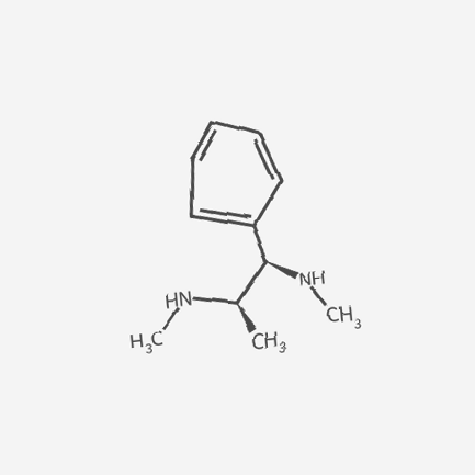 CN[C@H](c1ccccc1)[C@@H](C)NC